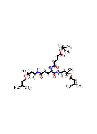 CC(C)CCOC(C)(C)CCNC(=O)CCC(NC(=O)CCCC(=O)OC(C)(C)C)C(=O)NCCC(C)(C)OCCC(C)C